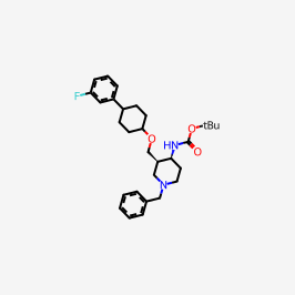 CC(C)(C)OC(=O)N[C@H]1CCN(Cc2ccccc2)C[C@H]1COC1CCC(c2cccc(F)c2)CC1